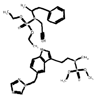 C#CCN(C(C)Cc1ccccc1)P(=O)(OCC)OCC.COP(=O)(OC)N(C)CCc1c[nH]c2ccc(Cn3cncn3)cc12